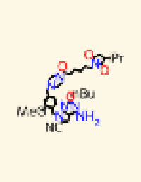 CCCCOc1nc(N)c2cc(C#N)n(Cc3ccc(CN4CCN(C(=O)CCCCCN5C(=O)CC(C(C)C)C5=O)CC4)cc3OC)c2n1